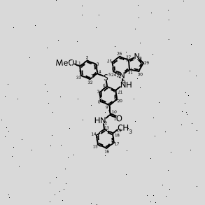 COc1ccc(Sc2ccc(C(=O)Nc3ccccc3C)cc2Nn2cccc3nccc2-3)cc1